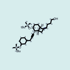 CC(C)(C)[Si](C)(C)OC1CCCC(CC#C[C@@H]2[C@H]3C/C(=C/CCCO)[C@H]3CC[C@H]2O[Si](C)(C)C(C)(C)C)C1